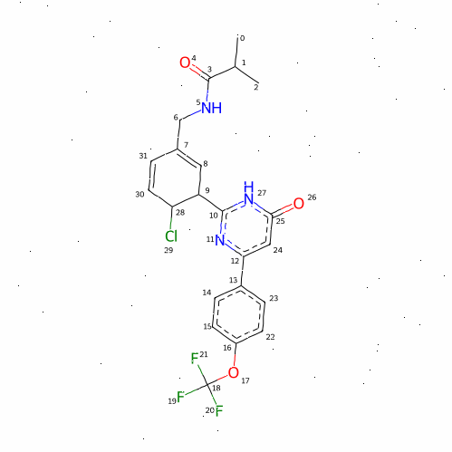 CC(C)C(=O)NCC1=CC(c2nc(-c3ccc(OC(F)(F)F)cc3)cc(=O)[nH]2)C(Cl)C=C1